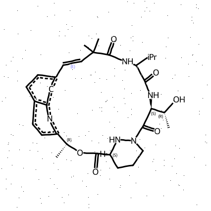 CC(C)C1NC(=O)C(C)(C)/C=C/c2ccc3ccc(nc3c2)[C@@H](C)OC(=O)[C@@H]2CCCN(N2)C(=O)[C@H]([C@@H](C)O)NC1=O